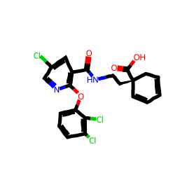 O=C(NCC[C@]1(C(=O)O)C=CC=CC1)c1cc(Cl)cnc1Oc1cccc(Cl)c1Cl